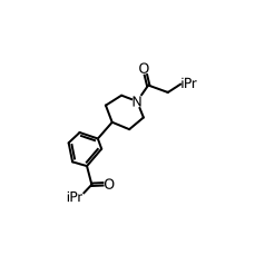 CC(C)CC(=O)N1CCC(c2cccc(C(=O)C(C)C)c2)CC1